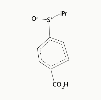 CC(C)[S+]([O-])c1ccc(C(=O)O)cc1